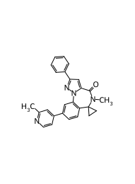 Cc1cc(-c2ccc3c(c2)-n2nc(-c4ccccc4)cc2C(=O)N(C)C32CC2)ccn1